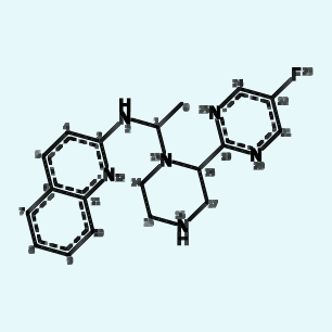 CC(Nc1ccc2ccccc2n1)N1CCNCC1c1ncc(F)cn1